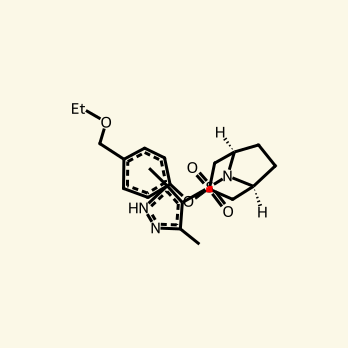 CCOCc1ccc(O[C@H]2C[C@H]3CC[C@@H](C2)N3S(=O)(=O)c2c(C)n[nH]c2C)cc1